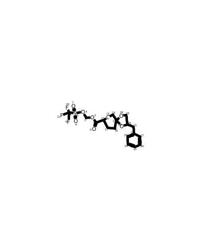 O=C(OCOS(=O)(=O)C(F)(F)F)C1CCC2(CC1)OCC(Cc1ccccc1)O2